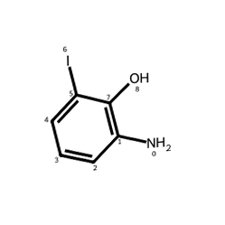 Nc1cccc(I)c1O